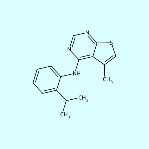 Cc1csc2ncnc(Nc3ccccc3C(C)C)c12